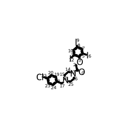 O=C(COc1c(I)cc(I)cc1I)N1CCN(Cc2ccc(Cl)cc2)CC1